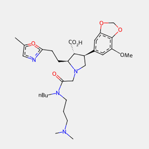 CCCCN(CCCN(C)C)C(=O)CN1C[C@H](c2cc(OC)c3c(c2)OCO3)[C@@H](C(=O)O)[C@@H]1CCc1ncc(C)o1